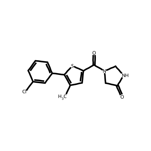 Cc1cc(C(=O)N2CNC(=O)C2)sc1-c1cccc(Cl)c1